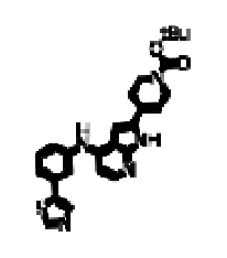 CC(C)(C)OC(=O)N1CC=C(c2cc3c(Nc4cccc(-c5cncs5)c4)ccnc3[nH]2)CC1